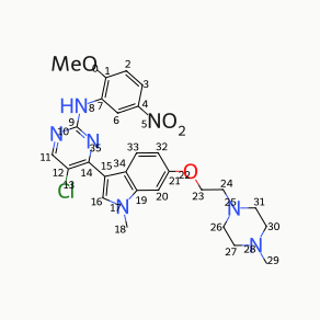 COc1ccc([N+](=O)[O-])cc1Nc1ncc(Cl)c(-c2cn(C)c3cc(OCCN4CCN(C)CC4)ccc23)n1